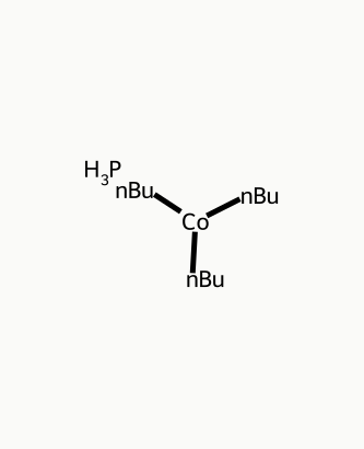 CCC[CH2][Co]([CH2]CCC)[CH2]CCC.P